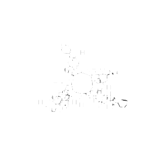 CON=C1C[C@@H](C)O[C@@H](O[C@@H]2[C@@H](C)[C@H](O[C@H]3CC(C)N(C4CCOCC4)C[C@H](C)O3)[C@@H](C)C(=O)O[C@H](C(C)CO[C@@H]3O[C@H](C)[C@@H](O)[C@@H](OC)[C@H]3OC)[C@H](C)[C@@H](OC(=O)CC(C)C)[C@@H](C)C(=O)[C@@](C)(OC(=O)NC(C)(C)CNS(=O)(=O)c3ccccc3)C[C@@H]2C)[C@@H]1O